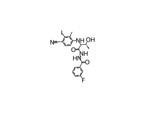 Cc1c(NC(C(=O)NNC(=O)c2cccc(F)c2)[C@H](C)O)ccc(C#N)c1I